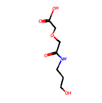 O=C(O)COCC(=O)NCCCO